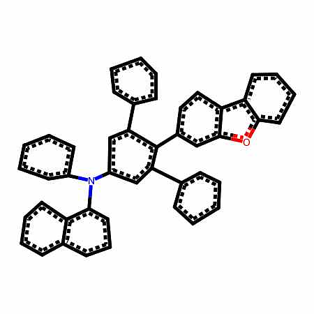 c1ccc(-c2cc(N(c3ccccc3)c3cccc4ccccc34)cc(-c3ccccc3)c2-c2ccc3c(c2)oc2ccccc23)cc1